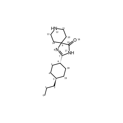 CCC[C@H]1CC[C@H](C2=NC3(CCNCC3)C(=O)N2)CC1